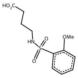 COc1ccccc1S(=O)(=O)NCCCC(=O)O